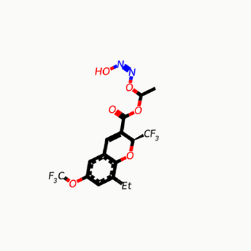 CCc1cc(OC(F)(F)F)cc2c1O[C@H](C(F)(F)F)C(C(=O)OC(C)O/N=N\O)=C2